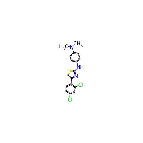 CN(C)c1ccc(Nc2nc(-c3ccc(Cl)cc3Cl)cs2)cc1